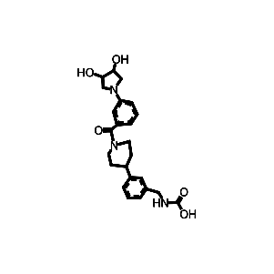 O=C(O)NCc1cccc(C2CCN(C(=O)c3cccc(N4CC(O)C(O)C4)c3)CC2)c1